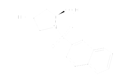 O=C(O)[C@@H]1C[C@@H](O)CN1S(=O)(=O)c1ccc2ccccc2c1